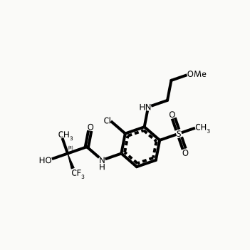 COCCNc1c(S(C)(=O)=O)ccc(NC(=O)[C@@](C)(O)C(F)(F)F)c1Cl